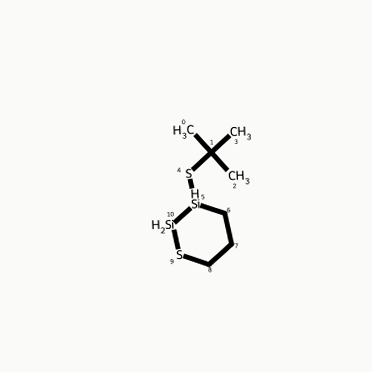 CC(C)(C)S[SiH]1CCCS[SiH2]1